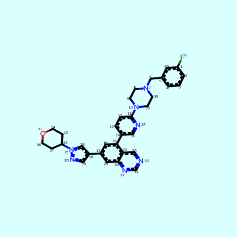 Fc1cccc(CN2CCN(c3ccc(-c4cc(-c5cnn(C6CCOCC6)c5)cc5ncncc45)cn3)CC2)c1